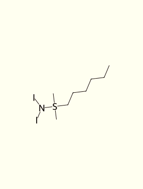 CCCCCCS(C)(C)N(I)I